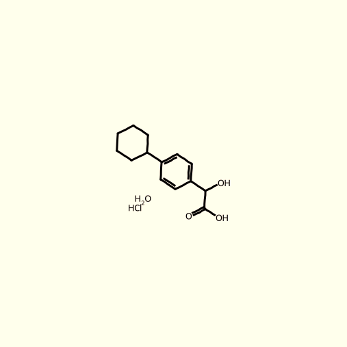 Cl.O.O=C(O)C(O)c1ccc(C2CCCCC2)cc1